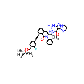 C[C@H](NC(=O)c1c(N)nn2cccnc12)c1cc2cccc(C#Cc3ccc(CO[Si](C)(C)C(C)(C)C)c(F)c3)c2c(=O)n1-c1ccccc1